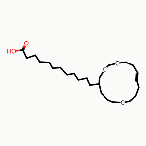 O=C(O)CCCCCCCCCCCC1CCCCCC/C=C/CCCCCCC1